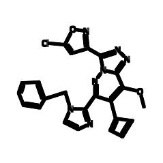 COc1c(C2=CC=C2)c(-c2nccn2Cc2ccccc2)nn2c(-c3cc(Cl)on3)nnc12